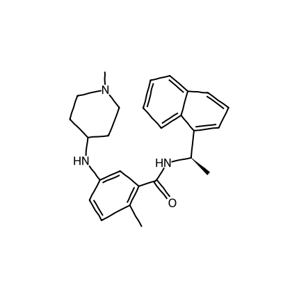 Cc1ccc(NC2CCN(C)CC2)cc1C(=O)N[C@H](C)c1cccc2ccccc12